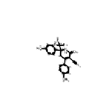 Cc1ccc(C2=C(C#N)C(=O)NC(c3ccc(O)cc3)(C(F)(F)F)C2)cc1